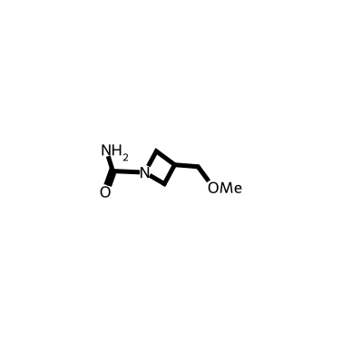 COCC1CN(C(N)=O)C1